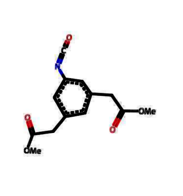 COC(=O)Cc1cc(CC(=O)OC)cc(N=C=O)c1